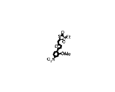 CCN1C(=O)SC(=Cc2ccc(-c3ccc([N+](=O)[O-])cc3OC)o2)C1=O